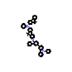 CC1(C)c2ccccc2-c2ccc(N(c3ccccc3)c3ccc4c(c3)C(C)(C)c3cc(-n5c6ccccc6c6cc(-c7ccc8c(c7)c7ccccc7n8-c7ccccc7)ccc65)ccc3-4)cc21